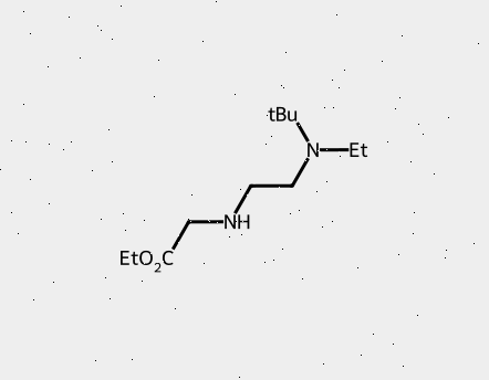 CCOC(=O)CNCCN(CC)C(C)(C)C